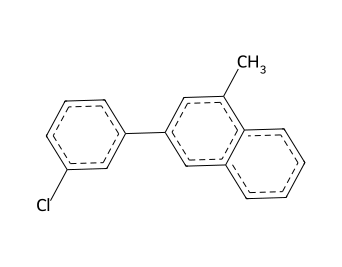 Cc1cc(-c2cccc(Cl)c2)cc2ccccc12